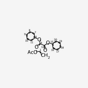 C=COC(C)=O.O=C(Oc1ccccc1)C(=O)Oc1ccccc1